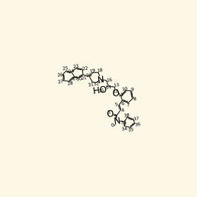 CN(C(=O)/C=C/c1ccccc1OCC(O)CN1CCC(c2ccc3ccccc3c2)CC1)c1ccccc1